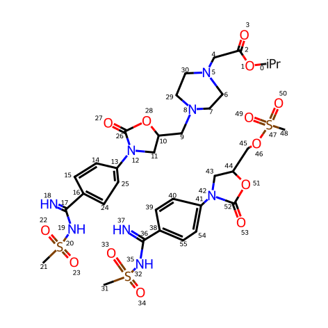 CC(C)OC(=O)CN1CCN(CC2CN(c3ccc(C(=N)NS(C)(=O)=O)cc3)C(=O)O2)CC1.CS(=O)(=O)NC(=N)c1ccc(N2CC(COS(C)(=O)=O)OC2=O)cc1